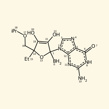 BC1(n2cnc3c(=O)[nH]c(N)nc32)OC(CC)(COC(C)C)C(O)=C1O